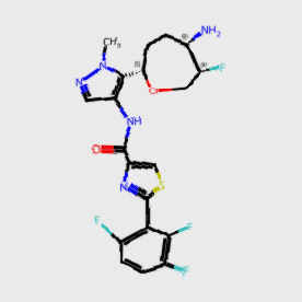 Cn1ncc(NC(=O)c2csc(-c3c(F)ccc(F)c3F)n2)c1[C@@H]1CC[C@@H](N)[C@@H](F)CO1